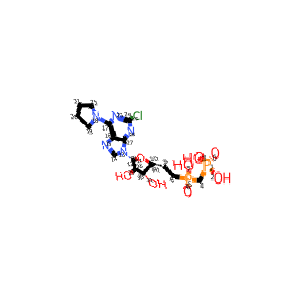 O=P(O)(O)CP(=O)(O)CC[C@H]1O[C@@H](n2cnc3c(N4CCCC4)nc(Cl)nc32)C(O)[C@H]1O